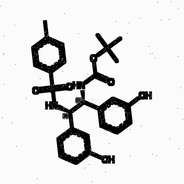 Cc1ccc(S(=O)(=O)N[C@H](c2cccc(O)c2)[C@H](NC(=O)OC(C)(C)C)c2cccc(O)c2)cc1